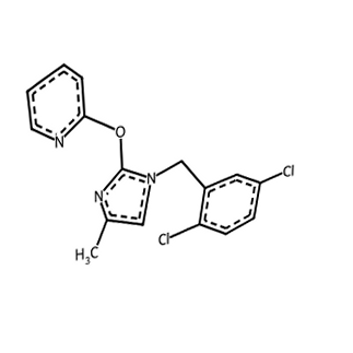 Cc1cn(Cc2cc(Cl)ccc2Cl)c(Oc2ccccn2)n1